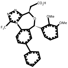 COc1cccc([C@H]2O[C@H](CC(=O)O)c3nnc(C(F)(F)F)n3-c3ccc(-c4ccccc4)cc32)c1OC